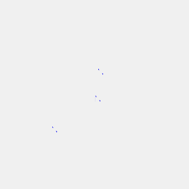 c1ccc(-c2cc(-c3ccccc3)nc(-n3c4c(c5c3ccc3c6ccccc6n(-c6ccccc6)c35)CCCC4)c2)cc1